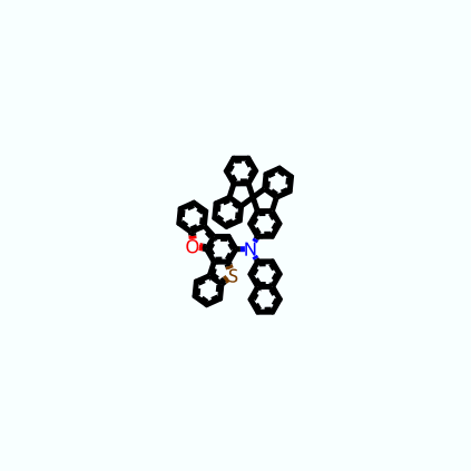 c1ccc2c(c1)-c1ccccc1C21c2ccccc2-c2ccc(N(c3ccc4ccccc4c3)c3cc4c5ccccc5oc4c4c3sc3ccccc34)cc21